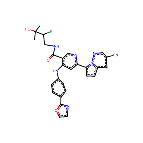 CC(C)(O)C(F)CNC(=O)c1cnc(-c2ccc3cc(C#N)cnn23)cc1Nc1ccc(-c2ncco2)cc1